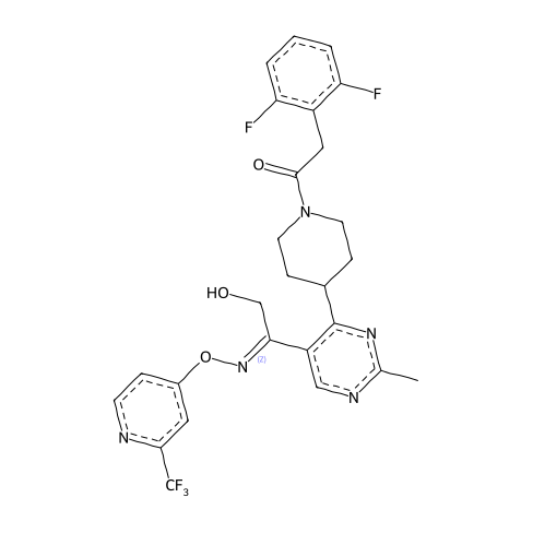 Cc1ncc(/C(CO)=N/Oc2ccnc(C(F)(F)F)c2)c(C2CCN(C(=O)Cc3c(F)cccc3F)CC2)n1